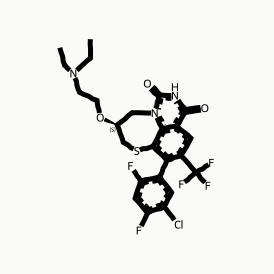 CCN(CC)CCO[C@@H]1CSc2c(-c3cc(Cl)c(F)cc3F)c(C(F)(F)F)cc3c(=O)[nH]c(=O)n(c23)C1